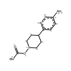 CC(C)(C)C(=O)ON1CCC(c2ccc(N)nn2)CC1